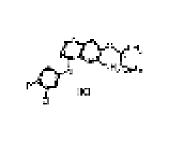 COC[C@H](C)Oc1cc2ncnc(Nc3ccc(F)c(Cl)c3)c2cc1N.Cl